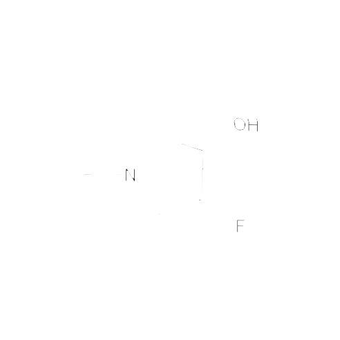 CN1C[C@@H](F)[C@@H](O)C1